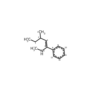 CCC(C)/C=C(\NC)c1ccccc1